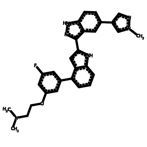 CN(C)CCOc1cc(F)cc(-c2cccc3[nH]c(-c4n[nH]c5ccc(-c6cnn(C)c6)cc45)cc23)c1